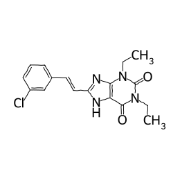 CCn1c(=O)c2[nH]c(C=Cc3cccc(Cl)c3)nc2n(CC)c1=O